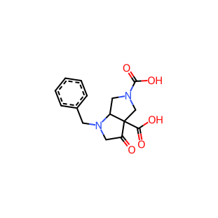 O=C(O)N1CC2N(Cc3ccccc3)CC(=O)C2(C(=O)O)C1